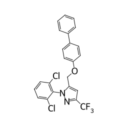 FC(F)(F)c1cc(COc2ccc(-c3ccccc3)cc2)n(-c2c(Cl)cccc2Cl)n1